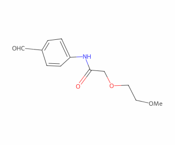 COCCOCC(=O)Nc1ccc(C=O)cc1